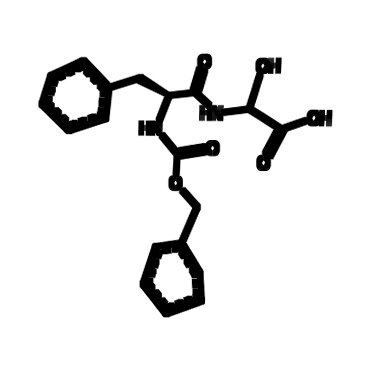 O=C(N[C@@H](Cc1ccccc1)C(=O)NC(O)C(=O)O)OCc1ccccc1